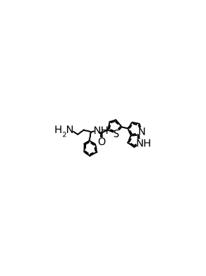 NCCC(NC(=O)c1ccc(-c2ccnc3[nH]ccc23)s1)c1ccccc1